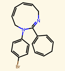 Brc1ccc(N2C/C=C\C=C/C/N=C\2C2=CC=CCC=C2)cc1